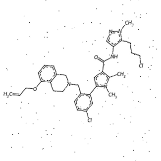 C=CCOc1cccc2c1CCN(Cc1ccc(Cl)cc1-c1cc(C(=O)Nc3cnn(C)c3CCCCl)c(C)n1C)C2